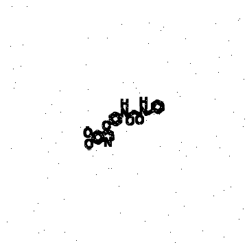 COc1cc2nccc(Oc3ccc(NC(=O)CC(=O)NCc4ccccc4)cc3)c2cc1OC